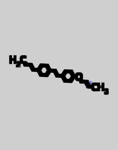 C=CCCC1CCC(CCC2CCC(OC/C=C/C)CC2)CC1